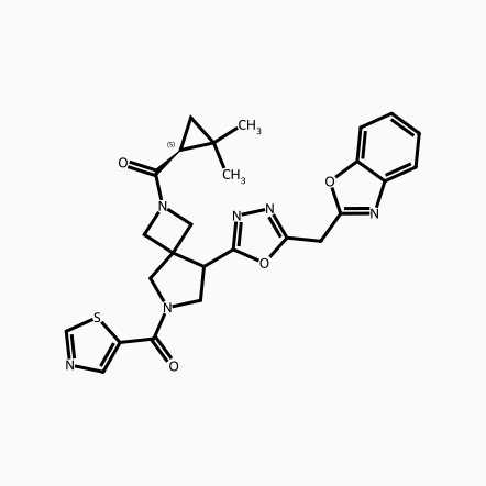 CC1(C)C[C@@H]1C(=O)N1CC2(CN(C(=O)c3cncs3)CC2c2nnc(Cc3nc4ccccc4o3)o2)C1